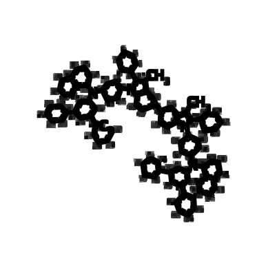 Cc1c(-c2ccccc2)n(-c2ccc(N(c3cc(-c4ccccc4)cc(-c4ccccc4)c3)c3cccc4ccccc34)cc2)c2ccc(-c3ccc4c(c3)c(C)c(-c3ccccc3)n4-c3ccc(N(c4cc(-c5ccccc5)cc(-c5ccccc5)c4)c4cccc5ccccc45)cc3)cc12